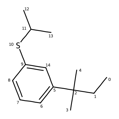 CCC(C)(C)c1cccc(SC(C)C)c1